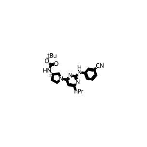 CCCc1cc(N2CC[C@H](NC(=O)OC(C)(C)C)C2)nc(Nc2cccc(C#N)c2)n1